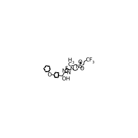 CC1CN(S(=O)(=O)CCC(F)(F)F)CCN1c1nc(C(O)c2ccc(Oc3ccccc3)cc2)ns1